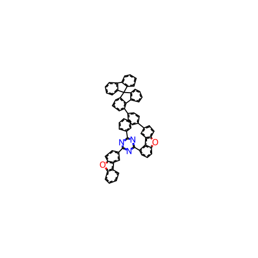 c1ccc(-c2nc(-c3ccc4oc5ccccc5c4c3)nc(-c3cccc4oc5ccc(-c6ccc(-c7cccc8c7-c7ccccc7C87c8ccccc8-c8ccccc87)cc6)cc5c34)n2)cc1